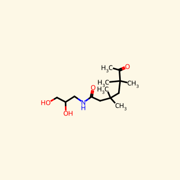 CC(=O)C(C)(C)CC(C)(C)CC(=O)NCC(O)CO